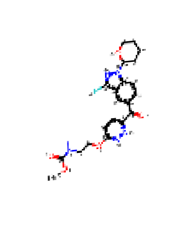 CC(C)(C)OC(=O)NCCOc1ccc(C(=O)c2ccc3c(c2)c(F)nn3C2CCCCO2)nn1